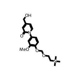 COc1cc(-n2ccc(CO)cc2=O)ccc1OCOCC[Si](C)(C)C